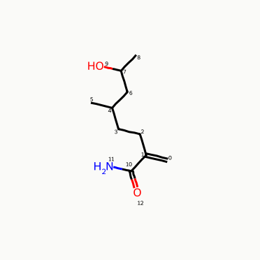 C=C(CCC(C)CC(C)O)C(N)=O